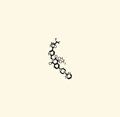 CC1(C)C(=O)N(Cc2ccc(-c3nnc(C(F)F)o3)cn2)C(=O)c2ccc(N3CCN(c4ncccn4)CC3)cc21